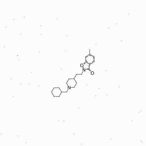 Cc1ccc2c(=O)n(CCC3CCN(CC4CCCCC4)CC3)oc2c1